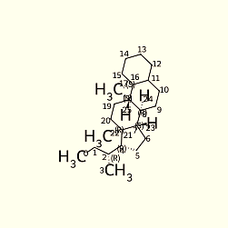 CC[C@@H](C)[C@H]1CC[C@H]2[C@@H]3CCC4CCCC[C@]4(C)[C@H]3CC[C@]12C